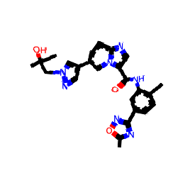 Cc1nc(-c2ccc(C)c(NC(=O)c3cnc4ccc(-c5cnn(CC(C)(C)O)c5)cn34)c2)no1